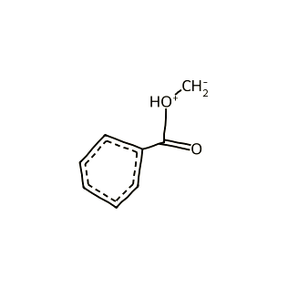 [CH2-][OH+]C(=O)c1ccccc1